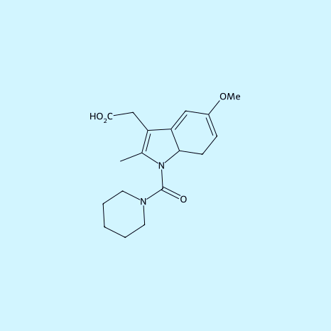 COC1=CCC2C(=C1)C(CC(=O)O)=C(C)N2C(=O)N1CCCCC1